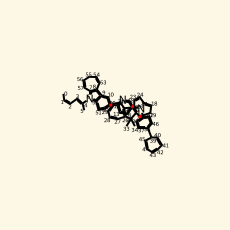 C/C=C\C=C(/C)n1c2c(c3cc(-c4ccc(N(C5=C\CCC6=C(/C=C\5)C5=C(C=CC=CC5)C6(C)C)c5ccc(C6C=CC=CC=C6)cc5)cn4)ccc31)C=CCC=C2